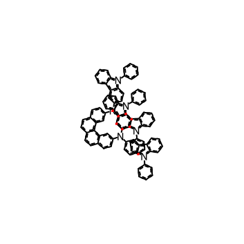 c1ccc(-n2c3ccccc3c3cc(N(c4ccc5ccc6ccc7ccc(N(c8ccc9c(c8)c8ccccc8n9-c8ccccc8)c8ccc9c(c8)c8ccccc8n9-c8ccccc8)cc7c6c5c4)c4ccc5c(c4)c4ccccc4n5-c4ccccc4)ccc32)cc1